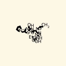 C=CCON=C(C(=O)NC1C(=O)N2C=C(C[n+]3ccccc3)CS[C@@H]12)c1nsc(NP(=O)(O)OCC)n1